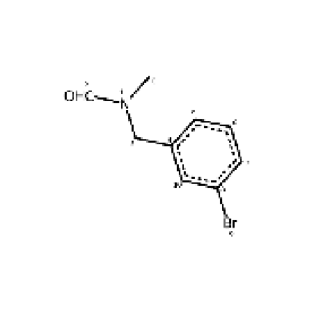 CN(C=O)Cc1cccc(Br)c1